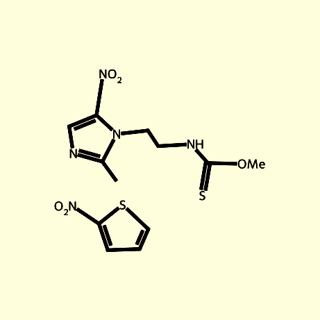 COC(=S)NCCn1c([N+](=O)[O-])cnc1C.O=[N+]([O-])c1cccs1